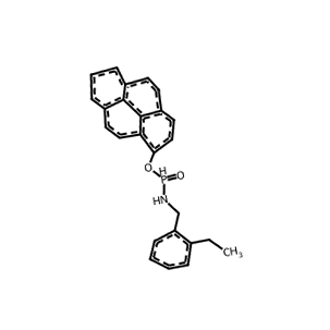 CCc1ccccc1CN[PH](=O)Oc1ccc2ccc3cccc4ccc1c2c34